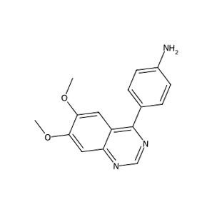 COc1cc2ncnc(-c3ccc(N)cc3)c2cc1OC